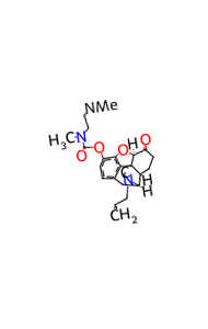 C=CCN1CC[C@]23c4c5ccc(OC(=O)N(C)CCNC)c4O[C@H]2C(=O)CC[C@H]3[C@H]1C5